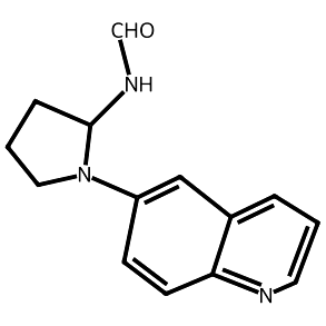 O=CNC1CCCN1c1ccc2ncccc2c1